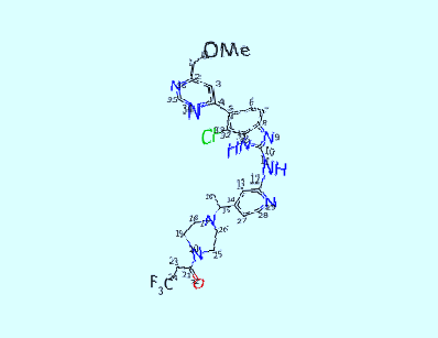 COCc1cc(-c2ccc3nc(Nc4cc(C(C)N5CCN(C(=O)CC(F)(F)F)CC5)ccn4)[nH]c3c2Cl)ncn1